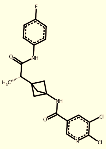 C[C@H](C(=O)Nc1ccc(F)cc1)C12CC(NC(=O)c3cnc(Cl)c(Cl)c3)(C1)C2